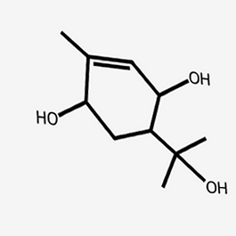 CC1=CC(O)C(C(C)(C)O)CC1O